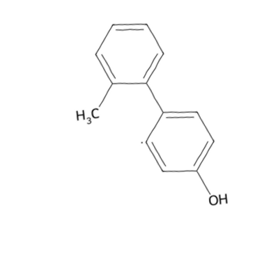 Cc1ccccc1-c1[c]cc(O)cc1